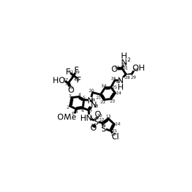 COc1cccc2c1c(NS(=O)(=O)c1ccc(Cl)s1)nn2Cc1cccc(CN[C@H](CO)C(N)=O)c1.O=C(O)C(F)(F)F